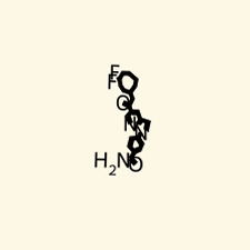 NC(=O)c1ccc(-n2ccc3cc(C(=O)CC4CCCCC(F)(F)CC4)cnc32)cc1